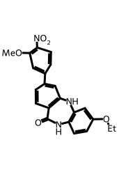 CCOc1ccc2c(c1)Nc1cc(-c3ccc([N+](=O)[O-])c(OC)c3)ccc1C(=O)N2